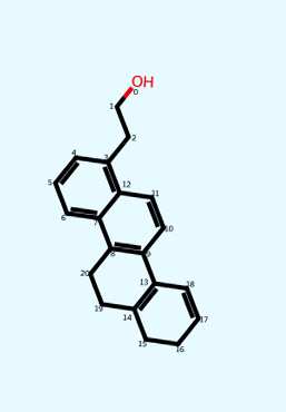 OCCc1cccc2c3c(ccc12)C1=C(CCC=C1)CC3